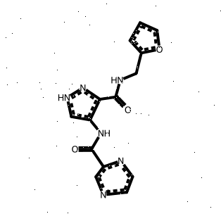 O=C(Nc1c[nH]nc1C(=O)NCc1ccco1)c1cnccn1